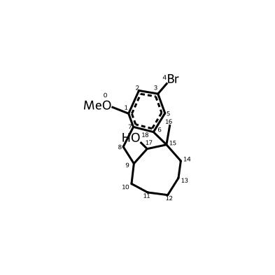 COc1cc(Br)cc2c1CC1CCCCCC2(C)C1O